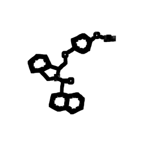 CC(C)(C)Oc1ccc(OCC2c3ccccc3CN2C(=O)c2cccc3ccccc23)cc1